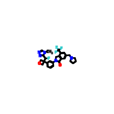 Cn1cnnc1C(F)C1(c2cccc(N3Cc4c(cc(CN5CCCC5)cc4C(F)(F)F)C3=O)c2)COC1